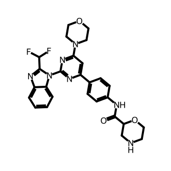 O=C(Nc1ccc(-c2cc(N3CCOCC3)nc(-n3c(C(F)F)nc4ccccc43)n2)cc1)C1CNCCO1